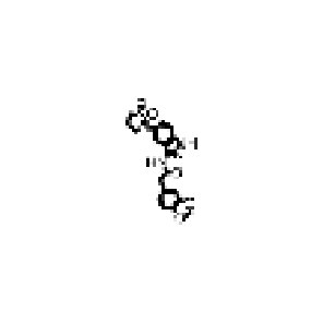 O=C(Cc1ccc2c(c1)OCO2)Nc1n[nH]c2ccc(N3CCCS3(=O)=O)cc12